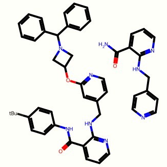 CC(C)(C)c1ccc(NC(=O)c2cccnc2NCc2ccnc(OC3CN(C(c4ccccc4)c4ccccc4)C3)c2)cc1.NC(=O)c1cccnc1NCc1ccncc1